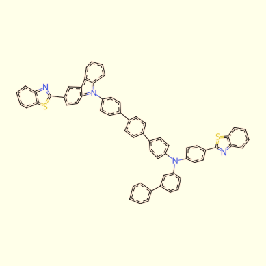 c1ccc(-c2cccc(N(c3ccc(-c4ccc(-c5ccc(-n6c7ccccc7c7cc(-c8nc9ccccc9s8)ccc76)cc5)cc4)cc3)c3ccc(-c4nc5ccccc5s4)cc3)c2)cc1